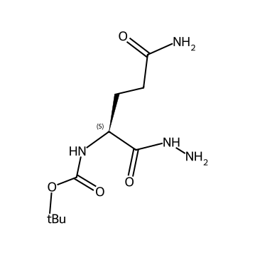 CC(C)(C)OC(=O)N[C@@H](CCC(N)=O)C(=O)NN